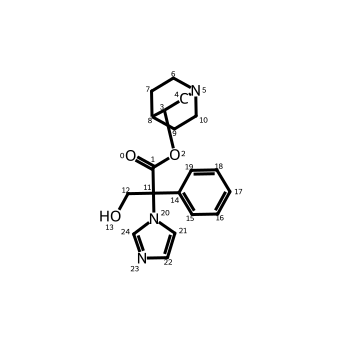 O=C(OC1CN2CCC1CC2)C(CO)(c1ccccc1)n1ccnc1